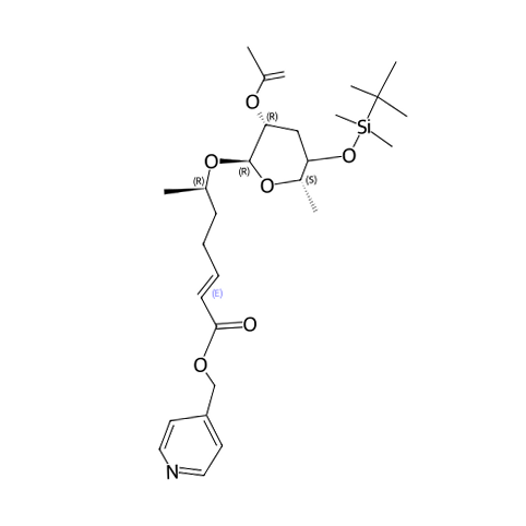 C=C(C)O[C@@H]1CC(O[Si](C)(C)C(C)(C)C)[C@H](C)O[C@H]1O[C@H](C)CC/C=C/C(=O)OCc1ccncc1